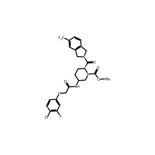 CC(C)(C)OC(=O)N1CC(NC(=O)COc2ccc(Cl)c(F)c2)CC[C@H]1C(=O)N1Cc2ccc(C(F)(F)F)cc2C1